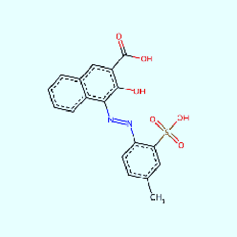 Cc1ccc(N=Nc2c(O)c(C(=O)O)cc3ccccc23)c(S(=O)(=O)O)c1